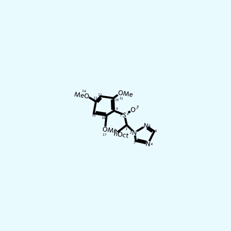 CCCCCCCCC(n1cncn1)[S+]([O-])c1c(OC)cc(OC)cc1OC